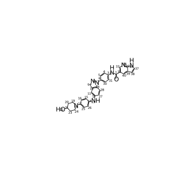 O=C(Nc1ccc(-n2ncc3cc(Nc4ccc(N5CCC(O)CC5)cc4)ccc32)cc1)c1cnc2[nH]ccc2c1